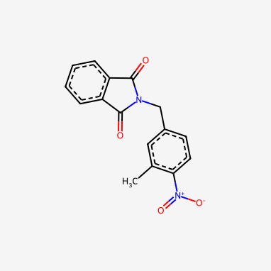 Cc1cc(CN2C(=O)c3ccccc3C2=O)ccc1[N+](=O)[O-]